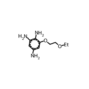 CCOCCOc1cc(N)cc(N)c1N